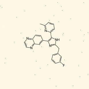 Cc1cccc(-c2[nH]c(Cc3cccc(F)c3)nc2-c2ccc3nccnc3c2)n1